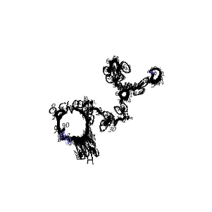 COc1cc2cc(c1Cl)N(C)C(=O)C[C@H](OC(=O)[C@H](C)N(C)C(=O)CCOC(=O)N(C)CCN(C)C(=O)OCc1ccc(NC(=O)OC3/C=C/CCCCC3)c(NCC(=O)ON3C(=O)CCC3=O)c1)[C@]1(C)OC1[C@H](C)[C@@H]1C[C@@](O)(NC(=O)O1)[C@H](OC)/C=C/C=C(\C)C2